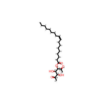 CCCCCCCC/C=C\CCCCCCCC(=O)OC(C(C)=O)C(O)C(O)C(C)=O